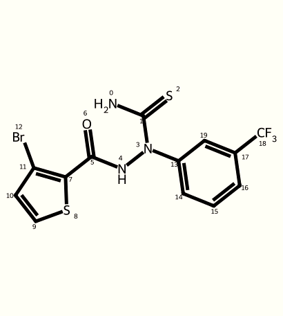 NC(=S)N(NC(=O)c1sccc1Br)c1cccc(C(F)(F)F)c1